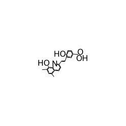 Cc1cc(C)c2ccc(C=Cc3cc(C(=O)O)ccc3O)nc2c1O